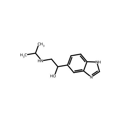 CC(C)NCC(O)c1ccc2[nH]cnc2c1